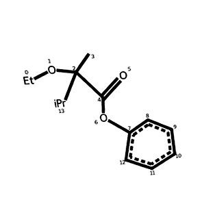 CCOC(C)(C(=O)Oc1ccccc1)C(C)C